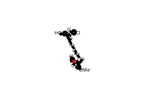 COc1ccc2c(c1)c(CC(=O)OCCOCCOCCOCCOC(=O)Cc1c(C)n(C(=O)c3ccc(Cl)cc3)c3ccc(CO)cc13)c(C)n2C(=O)c1ccc(Cl)cc1